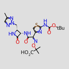 Cc1cnn(C[C@H]2NC(=O)[C@H]2NC(=O)/C(=N\OC(C)(C)C(=O)O)c2csc(NC(=O)OC(C)(C)C)n2)n1